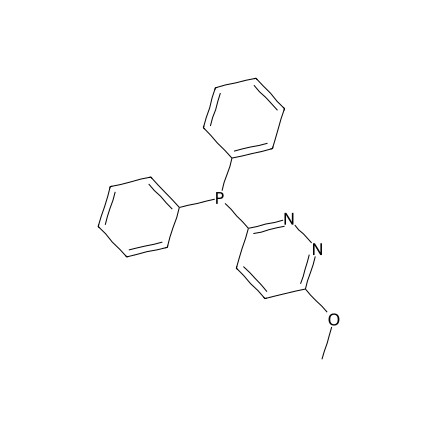 COc1ccc(P(c2ccccc2)c2ccccc2)nn1